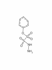 NNS(=O)(=O)S(=O)(=O)Oc1ccccc1